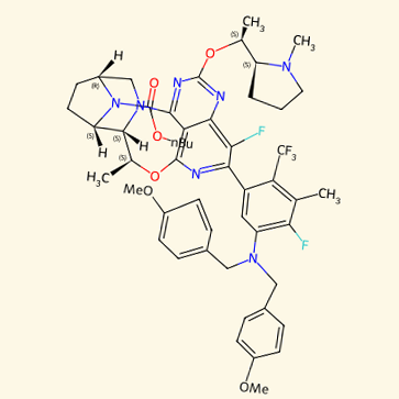 CCCCOC(=O)N1[C@@H]2CC[C@H]1[C@H]1[C@H](C)Oc3nc(-c4cc(N(Cc5ccc(OC)cc5)Cc5ccc(OC)cc5)c(F)c(C)c4C(F)(F)F)c(F)c4nc(O[C@@H](C)[C@@H]5CCCN5C)nc(c34)N1C2